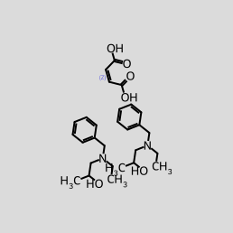 CCN(Cc1ccccc1)CC(C)O.CCN(Cc1ccccc1)CC(C)O.O=C(O)/C=C\C(=O)O